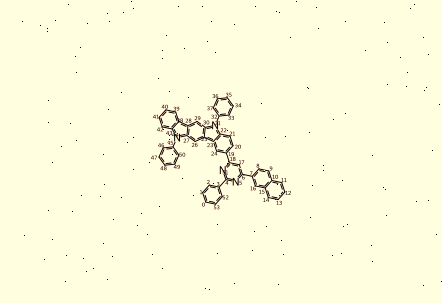 c1ccc(-c2nc(-c3ccc4ccccc4c3)cc(-c3ccc4c(c3)c3cc5c(cc3n4-c3ccccc3)c3ccccc3n5-c3ccccc3)n2)cc1